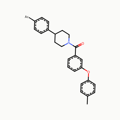 CC(=O)c1ccc(C2CCN(C(=O)c3cccc(Oc4ccc(C)cc4)c3)CC2)cc1